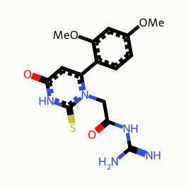 COc1ccc(-c2cc(=O)[nH]c(=S)n2CC(=O)NC(=N)N)c(OC)c1